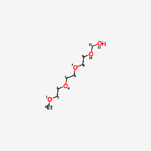 CCOCCOCCOCCOCO